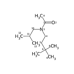 CC(=O)N(CCC(C)(C)C)CC(C)C